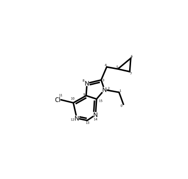 CCn1c(CC2CC2)nc2c(Cl)ncnc21